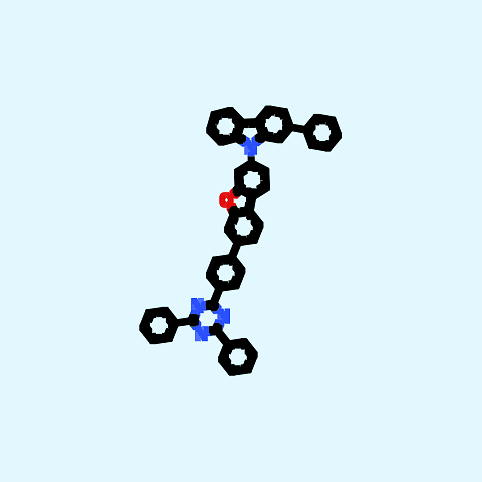 c1ccc(-c2ccc3c4ccccc4n(-c4ccc5c(c4)oc4cc(-c6ccc(-c7nc(-c8ccccc8)nc(-c8ccccc8)n7)cc6)ccc45)c3c2)cc1